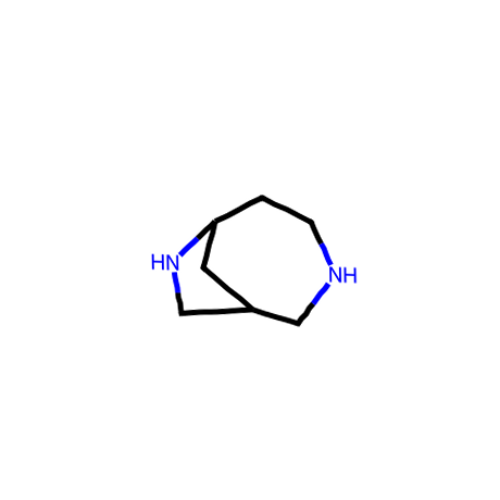 C1CC2CC(CN1)CN2